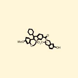 COc1ccc2c(c1)OCCn1c-2c(C2CCCCC2)c2ccc(C(=O)N3Cc4cc(O)ccc4C[C@H]3C(=O)O)cc21